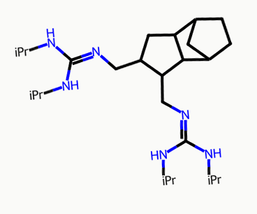 CC(C)NC(=NCC1CC2C3CCC(C3)C2C1CN=C(NC(C)C)NC(C)C)NC(C)C